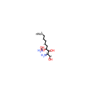 CCCCCCCCCCCCCCC(O)C(O)C(N)CO.NO